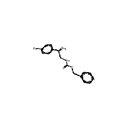 O=C(NCC(O)c1ccc(Br)cc1)OCc1ccccc1